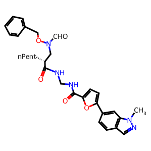 CCCCC[C@H](CN(C=O)OCc1ccccc1)C(=O)NCNC(=O)c1ccc(-c2ccc3cnn(C)c3c2)o1